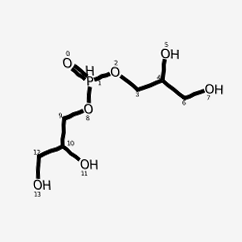 O=[PH](OCC(O)CO)OCC(O)CO